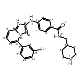 O=C(NCC1CCNCC1)c1ccc(Nc2nc3cccc(-c4cccc(F)c4)n3n2)cc1